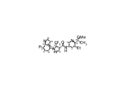 CCc1cc(NC(=O)c2cnn(-c3ccc(F)c4nccn34)c2C(F)(F)F)cnc1C(C)OC